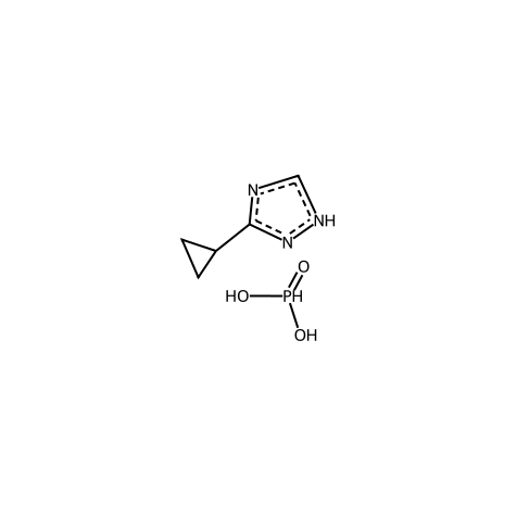 O=[PH](O)O.c1nc(C2CC2)n[nH]1